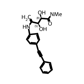 C=C(Nc1ccc(C#Cc2ccccc2)cc1)[C@H](O)[C@@H](O)C(=O)NC